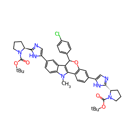 Cn1c2c(c3cc(-c4cnc([C@@H]5CCCN5C(=O)OC(C)(C)C)[nH]4)ccc31)C(c1ccc(Cl)cc1)Oc1cc(-c3cnc([C@@H]4CCCN4C(=O)OC(C)(C)C)[nH]3)ccc1-2